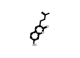 C=C(C)CCc1cc2ccc(O)cc2oc1=O